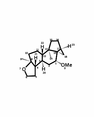 CO[C@@H]1C[C@H]2[C@@H]3CCO[C@@]3(C)CC[C@@H]2[C@@]2(C)CC[C@H]3C[C@]312